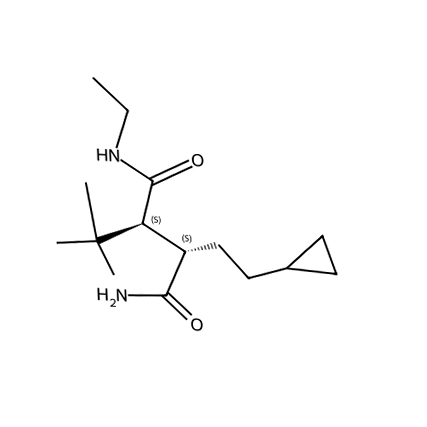 CCNC(=O)[C@@H]([C@H](CCC1CC1)C(N)=O)C(C)(C)C